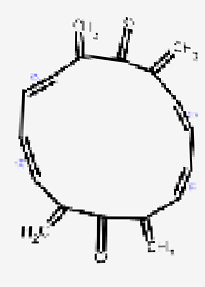 C=C1/C=C\C=C/C(=C)C(=O)C(=C)/C=C\C=C/C(=C)C1=O